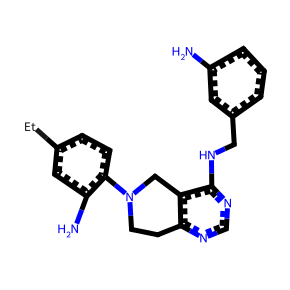 CCc1ccc(N2CCc3ncnc(NCc4cccc(N)c4)c3C2)c(N)c1